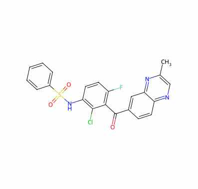 Cc1cnc2ccc(C(=O)c3c(F)ccc(NS(=O)(=O)c4ccccc4)c3Cl)cc2n1